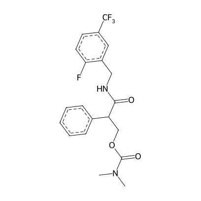 CN(C)C(=O)OCC(C(=O)NCc1cc(C(F)(F)F)ccc1F)c1ccccc1